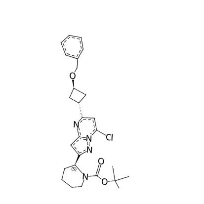 CC(C)(C)OC(=O)N1CCCC[C@H]1c1cc2nc([C@H]3C[C@H](OCc4ccccc4)C3)cc(Cl)n2n1